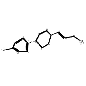 N#Cc1ccc([C@H]2CC[C@H](C=CCC(F)(F)F)CC2)cc1